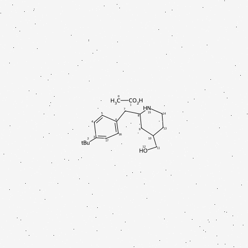 CC(=O)O.CC(C)(C)c1ccc(CC2CC(CO)CCN2)cc1